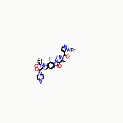 CCC(=O)N[C@H](Cc1ccc(NC(=O)[C@H](C)NC(=O)c2ccnn2C(C)C)c(F)c1)C(=O)N1CCN(C)CC1